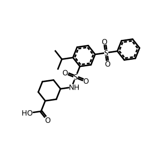 CC(C)c1ccc(S(=O)(=O)c2ccccc2)cc1S(=O)(=O)NC1CCCC(C(=O)O)C1